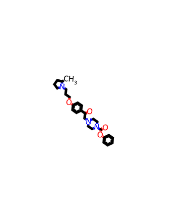 CC1CCCN1CCCOc1ccc(C(=O)CN2CCN(C(=O)Oc3ccccc3)CC2)cc1